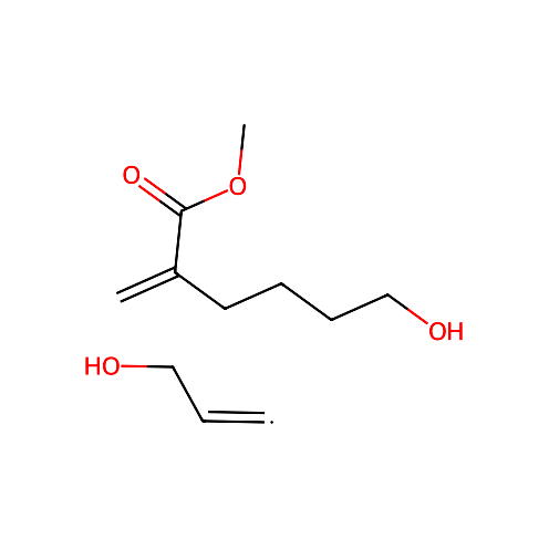 C=C(CCCCO)C(=O)OC.[CH]=CCO